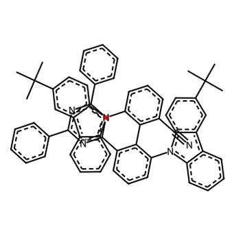 CC(C)(C)c1ccc2c(c1)c1ccccc1n2-c1cccc(C#N)c1-c1c(-c2nc(-c3ccccc3)nc(-c3ccccc3)n2)cccc1-n1c2ccccc2c2cc(C(C)(C)C)ccc21